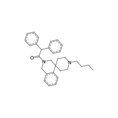 CCCCN1CCC2(CC1)CN(C(=O)C(c1ccccc1)c1ccccc1)Cc1ccccc12